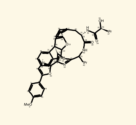 COc1ccc(-c2cnc(-c3nc4oc3[C@@]35c6ccccc6NC3Oc3ccc(cc35)C[C@H](NC(=O)[C@@H](O)C(C)C)C(=O)NC4C(C)C)o2)cc1